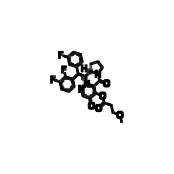 COCCC(=O)Oc1c2n(ncc1=O)[C@@H](C(c1cccc(F)c1)c1cccc(F)c1F)[C@H]1CCCN1C2=O